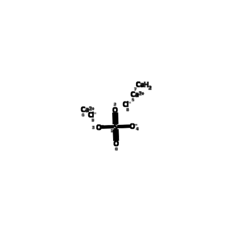 O=S(=O)([O-])[O-].[Ca+2].[Ca+2].[CaH2].[Cl-].[Cl-]